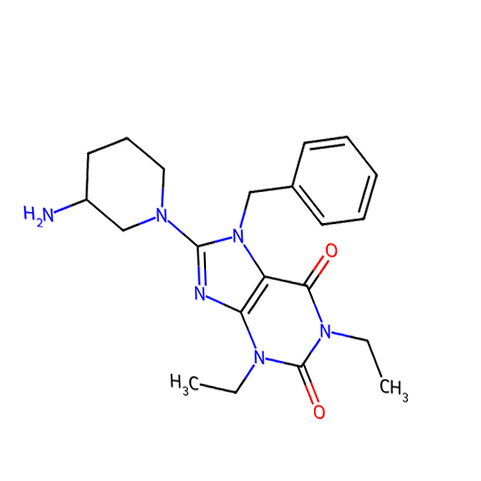 CCn1c(=O)c2c(nc(N3CCCC(N)C3)n2Cc2ccccc2)n(CC)c1=O